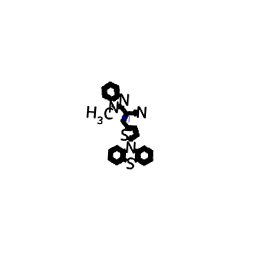 Cn1c(/C(C#N)=C/c2ccc(N3c4ccccc4Sc4ccccc43)s2)nc2ccccc21